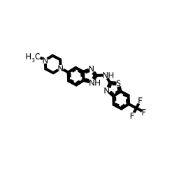 CN1CCN(c2ccc3[nH]c(Nc4nc5ccc(C(F)(F)F)cc5s4)nc3c2)CC1